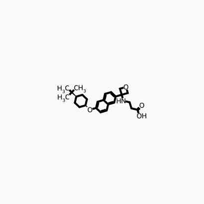 CC(C)(C)[C@H]1CC[C@H](Oc2ccc3cc(C4(NCCC(=O)O)COC4)ccc3c2)CC1